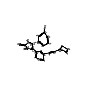 O=C1N[C@H](c2cncc(C#CC3CCC3)c2)[C@@H](c2cccc(F)c2)O1